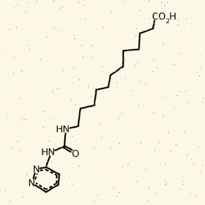 O=C(O)CCCCCCCCCCCNC(=O)Nc1cccnn1